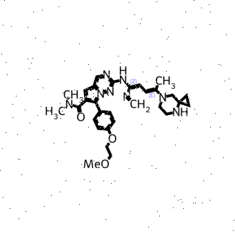 C=N/C(=C\C=C(/C)N1CCNC2(CC2)C1)Nc1ncc2cc(C(=O)N(C)C)c(-c3ccc(OCCOC)cc3)n2n1